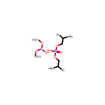 CCCCC(CC)COP(=O)(O)OCC(CC)CCCC.CCCCCCCCOP(O)OCCCCCCCC